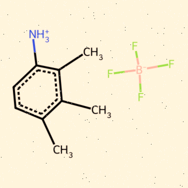 Cc1ccc([NH3+])c(C)c1C.F[B-](F)(F)F